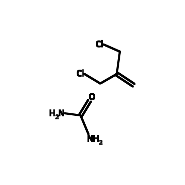 C=C(CCl)CCl.NC(N)=O